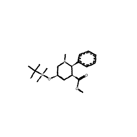 COC(=O)[C@H]1C[C@@H](O[Si](C)(C)C(C)(C)C)CN(C)[C@H]1c1ccccc1